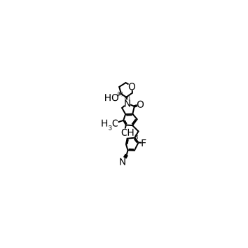 Cc1c(Cc2ccc(C#N)cc2F)cc2c(c1C)CN([C@@H]1COCC[C@H]1O)C2=O